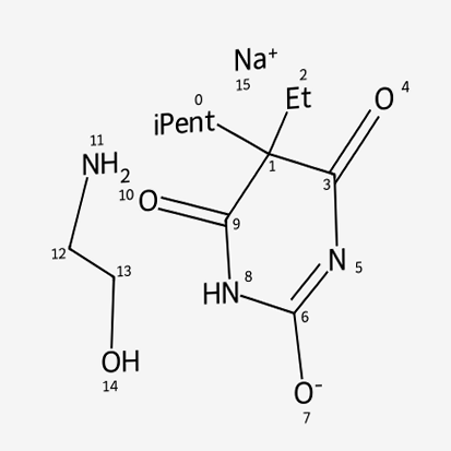 CCCC(C)C1(CC)C(=O)N=C([O-])NC1=O.NCCO.[Na+]